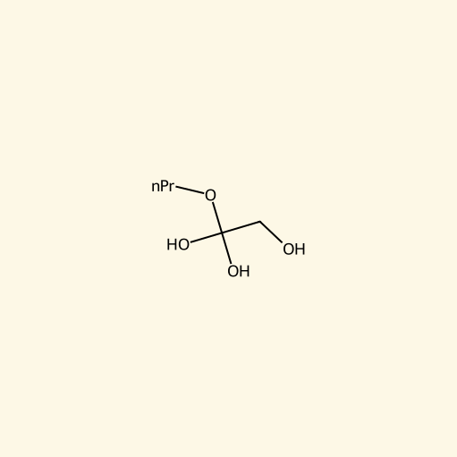 CCCOC(O)(O)CO